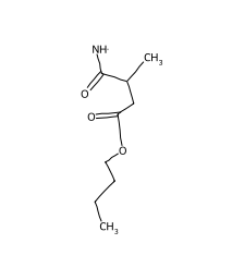 CCCCOC(=O)CC(C)C([NH])=O